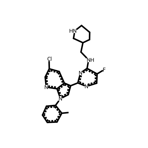 Cc1ccccc1-n1cc(-c2ncc(F)c(NCC3CCCNC3)n2)c2cc(Cl)cnc21